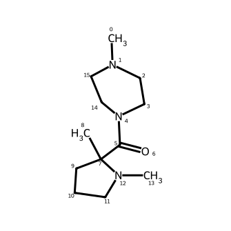 CN1CCN(C(=O)C2(C)CCCN2C)CC1